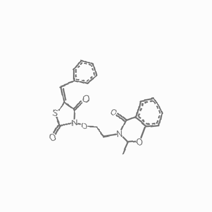 CC1Oc2ccccc2C(=O)N1CCON1C(=O)SC(=Cc2ccccc2)C1=O